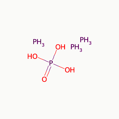 O=P(O)(O)O.P.P.P